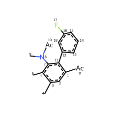 CC(=O)c1cc(C)c(C)c(N(C)C(C)=O)c1-c1cccc(F)c1